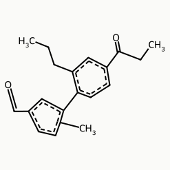 CCCc1cc(C(=O)CC)ccc1-c1cc(C=O)ccc1C